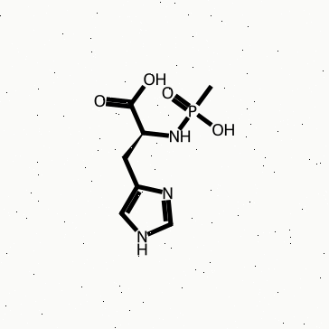 CP(=O)(O)N[C@@H](Cc1c[nH]cn1)C(=O)O